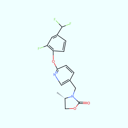 C[C@H]1COC(=O)N1Cc1ccc(Oc2ccc(C(F)F)cc2F)nc1